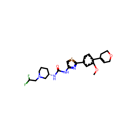 COc1cc(-c2nc(NC(=O)N[C@H]3CCCN(CC(F)F)C3)cs2)ccc1C1=CCOCC1